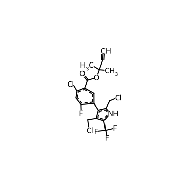 C#CC(C)(C)OC(=O)c1cc(-c2c(CCl)[nH]c(C(F)(F)F)c2CCl)c(F)cc1Cl